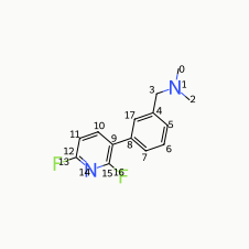 CN(C)Cc1cccc(-c2ccc(F)nc2F)c1